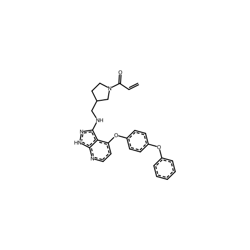 C=CC(=O)N1CCC(CNc2n[nH]c3nccc(Oc4ccc(Oc5ccccc5)cc4)c23)C1